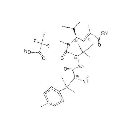 CN[C@@H](C(=O)N[C@H](C(=O)N(C)[C@H](/C=C(\C)C(=O)O)C(C)C)C(C)(C)C)C(C)(C)c1ccc(C)cc1.O=C(O)C(F)(F)F